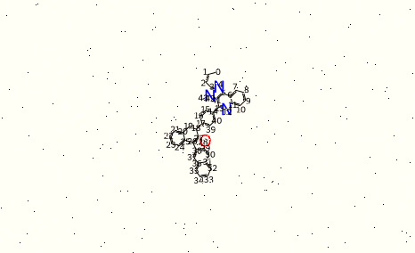 C/C=C\c1nc2c3ccccc3nc(-c3ccc(C4Cc5ccccc5-c5c4oc4cc6ccccc6cc54)cc3)c2n1C